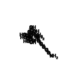 NCCOCCOCCOCCOCCOCCN(N)/C=C(\N)COC1c2c(O)cc(O)cc2OC(c2cc(O)c(O)c(O)c2)C1OC(=O)C1=CC(O)C(O)C(O)C1